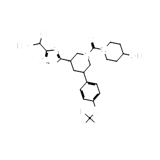 CC(C)c1noc(C2CC(c3ccc(OC(F)(F)F)cc3)CN(C(=O)N3CCC(O)CC3)C2)n1